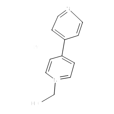 CC[n+]1ccc(-c2ccncc2)cc1.[Br-]